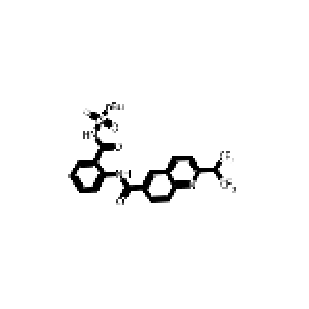 CCCCS(=O)(=O)NC(=O)c1ccccc1NC(=O)c1ccc2nc(C(C(F)(F)F)C(F)(F)F)ccc2c1